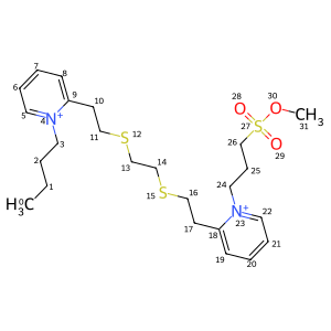 CCCC[n+]1ccccc1CCSCCSCCc1cccc[n+]1CCCS(=O)(=O)OC